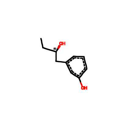 CC[C@@H](O)Cc1cccc(O)c1